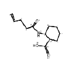 C=CCCC(=O)N[C@H]1CCCC[C@H]1C(=O)O